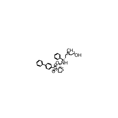 CN(CCO)CC[C@H](NC(=O)[C@@H]1SCCN1S(=O)(=O)c1ccc(-c2ccccc2)cc1)c1ccccc1